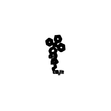 CCOC(=O)CCn1cc(/C=C2/CN(C(c3ccccc3)(c3ccccc3)c3ccccc3)CCC2O)cn1